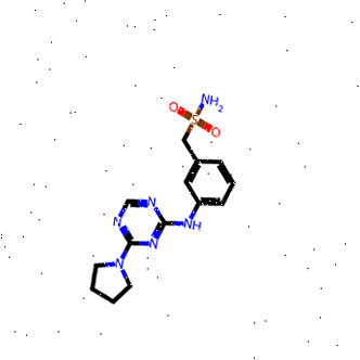 NS(=O)(=O)Cc1cccc(Nc2ncnc(N3CCCC3)n2)c1